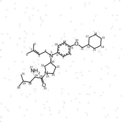 CC(C)=CCN(c1ccc(OCC2CCCCC2)cc1)C1CCN(C(=O)[C@@H](N)CC(C)C)C1